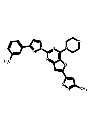 Cc1cccc(-c2ccn(-c3nc(N4CCOCC4)c4oc(-c5cc(C)ns5)cc4n3)n2)c1